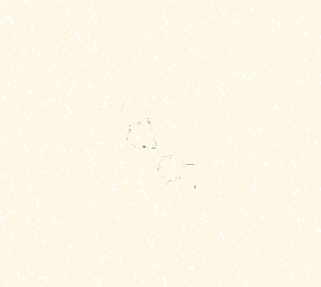 CCOc1cnc(-c2ccc(N)c(F)c2)nc1